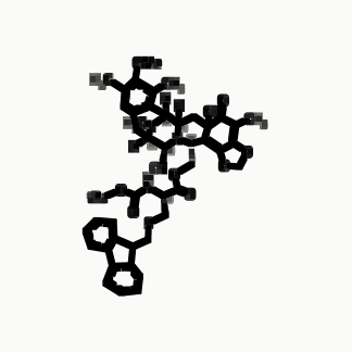 COc1c(C)cc2c(c1C)[C@@H]1[C@@H]3CC4(O)C(=O)C(C)=C5OCOC5=C4[C@H](COC(=O)[C@@H](CSCC4c5ccccc5-c5ccccc54)NC(=O)OC(C)(C)C)N3[C@@H](C#N)[C@H](C2)N1C